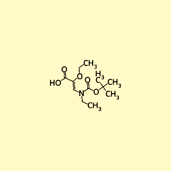 CCOC(=CN(CC)C(=O)OC(C)(C)C)C(=O)O